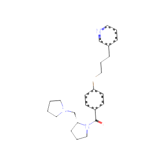 O=C(c1ccc(SCCCc2cccnc2)cc1)N1CCC[C@H]1CN1CCCC1